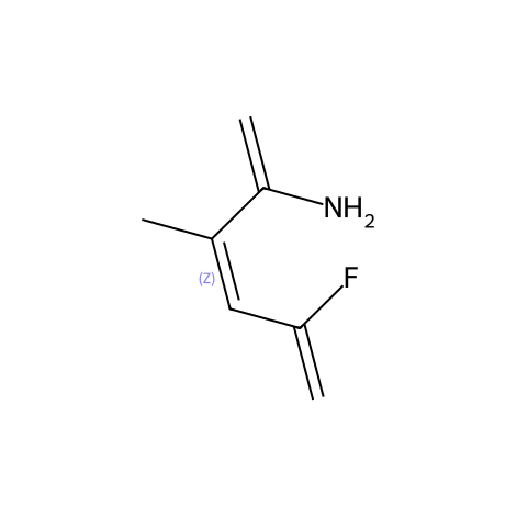 C=C(F)/C=C(/C)C(=C)N